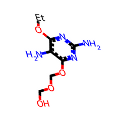 CCOc1nc(N)nc(OCOCO)c1N